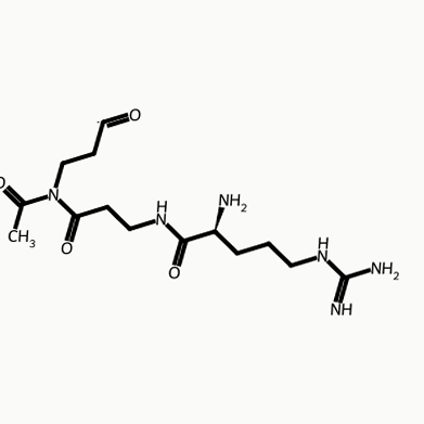 CC(=O)N(CC[C]=O)C(=O)CCNC(=O)[C@@H](N)CCCNC(=N)N